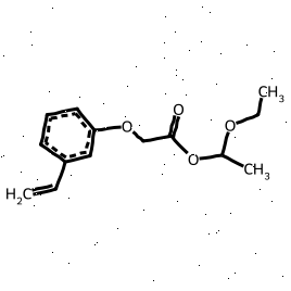 C=Cc1cccc(OCC(=O)OC(C)OCC)c1